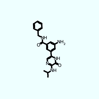 CC(C)Nc1ncc(-c2cc(N)cc(C(=O)NCc3ccccc3)c2)[nH]c1=O